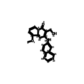 COc1cccn2c(=O)c(CO)c(Nc3ccc4ncncc4c3)nc12